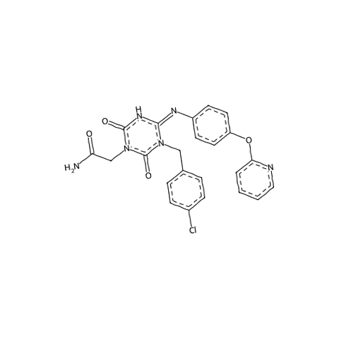 NC(=O)Cn1c(=O)[nH]/c(=N/c2ccc(Oc3ccccn3)cc2)n(Cc2ccc(Cl)cc2)c1=O